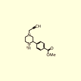 [2H]N1CCN(CC#C)CC1c1ccc(C(=O)OC)cc1